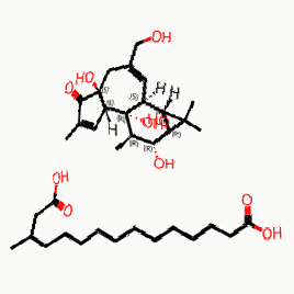 CC(CCCCCCCCCCCC(=O)O)CC(=O)O.CC1=C[C@H]2[C@]3(O)[C@H](C)[C@@H](O)[C@@]4(O)[C@H]([C@@H]3C=C(CO)C[C@@]2(O)C1=O)C4(C)C